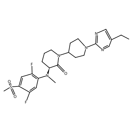 CCc1cnc(N2CCC(N3CCC[C@H](N(C)c4cc(F)c(S(C)(=O)=O)cc4F)C3=O)CC2)nc1